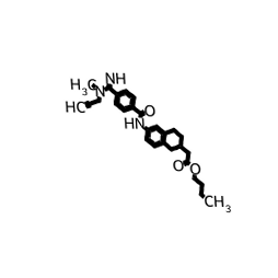 C#CCN(C)C(=N)c1ccc(C(=O)Nc2ccc3c(c2)CCC(CC(=O)OCCCC)C3)cc1